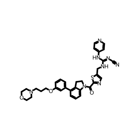 N#C/N=C(\NCc1cnc(C(=O)N2CCc3c(-c4cccc(OCCCN5CCOCC5)c4)cccc32)s1)Nc1ccncc1